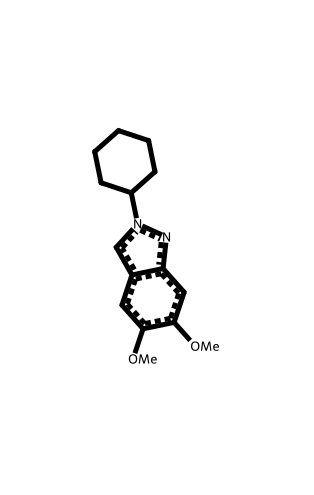 COc1cc2cn(C3CCCCC3)nc2cc1OC